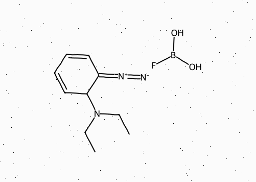 CCN(CC)C1C=CC=CC1=[N+]=[N-].OB(O)F